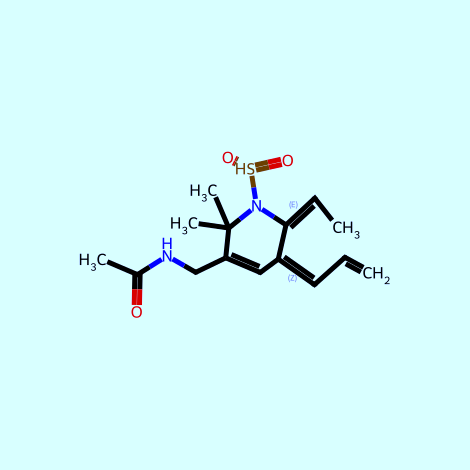 C=C/C=C1/C=C(CNC(C)=O)C(C)(C)N([SH](=O)=O)/C1=C/C